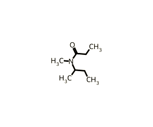 CCC(=O)N(C)C(C)CC